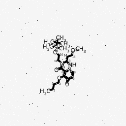 CCCCOc1c2n(ccc1=O)NC(CCOC)N(CCO[Si](C)(C)C(C)(C)C)C2=O